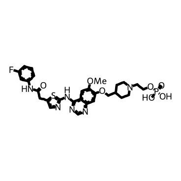 COc1cc2c(Nc3ncc(CC(=O)Nc4cccc(F)c4)s3)ncnc2cc1OCC1CCN(CCOP(=O)(O)O)CC1